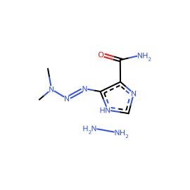 CN(C)N=Nc1[nH]cnc1C(N)=O.NN